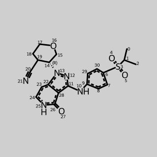 CC(C)S(=O)(=O)c1ccc(Nc2nn([C@H]3COCCC3C#N)c3cc[nH]c(=O)c23)cc1